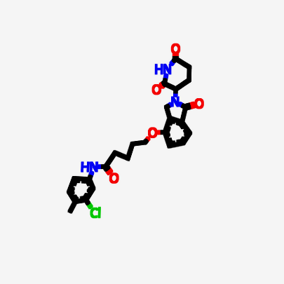 Cc1ccc(NC(=O)CCCCOc2cccc3c2CN(C2CCC(=O)NC2=O)C3=O)cc1Cl